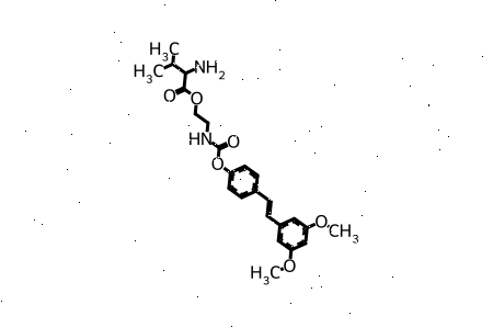 COc1cc(/C=C/c2ccc(OC(=O)NCCOC(=O)C(N)C(C)C)cc2)cc(OC)c1